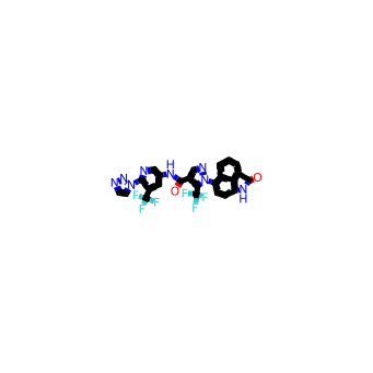 O=C(Nc1cnc(-n2ccnn2)c(C(F)(F)F)c1)c1cnn(-c2ccc3c4c(cccc24)C(=O)N3)c1C(F)(F)F